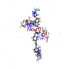 CC(C)(C(NC(=O)OC1CC1)C(=O)N[C@@H](Cc1ccc(C#Cc2ccc(N3CC4CCC(C3)N4C3COC3)nc2)cc1)[C@@H](O)CN(Cc1ccc(-c2cnn(C(F)F)c2)cc1F)NC(=O)[C@@H](NC(=O)OC1CC1)C(C)(C)C(F)(F)F)C(F)(F)F